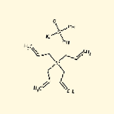 C=CC[N+](CC=C)(CC=C)CC=C.O[Si](O)(O)O